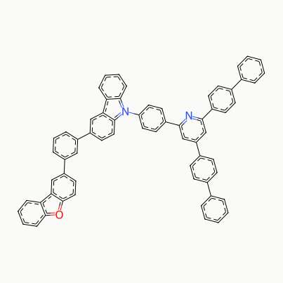 c1ccc(-c2ccc(-c3cc(-c4ccc(-c5ccccc5)cc4)nc(-c4ccc(-n5c6ccccc6c6cc(-c7cccc(-c8ccc9oc%10ccccc%10c9c8)c7)ccc65)cc4)c3)cc2)cc1